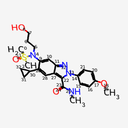 C=S(C)(=O)N(CCCO)c1cc2nn(-c3ccc(OC)cc3)c(C(=O)NC)c2cc1C1CC1